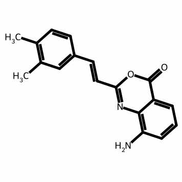 Cc1ccc(/C=C/c2nc3c(N)cccc3c(=O)o2)cc1C